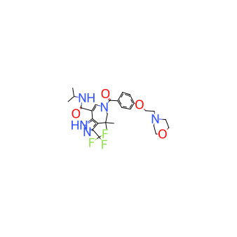 CC(C)NC(=O)C1=CN(C(=O)c2ccc(OCCN3CCOCC3)cc2)CC(C)(C)c2c(C(F)(F)F)n[nH]c21